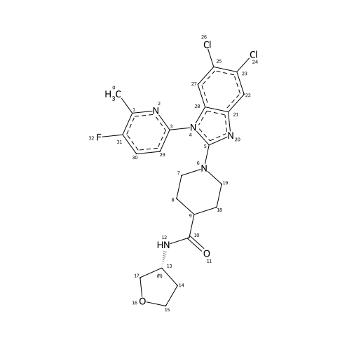 Cc1nc(-n2c(N3CCC(C(=O)N[C@@H]4CCOC4)CC3)nc3cc(Cl)c(Cl)cc32)ccc1F